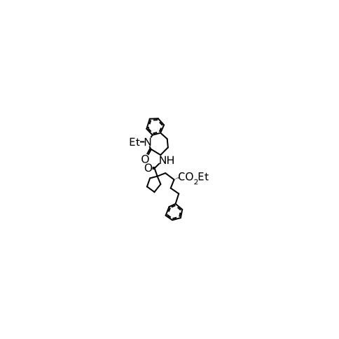 CCOC(=O)[C@H](CCc1ccccc1)CC1(C(=O)N[C@H]2CCc3ccccc3N(CC)C2=O)CCCC1